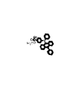 COP(=O)(O)c1ccc(N(c2ccccc2)c2c3ccccc3c(-c3ccccc3)c3ccccc23)cc1